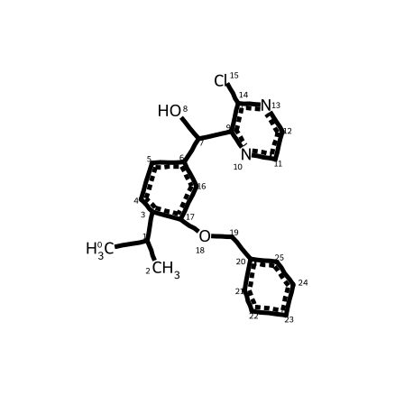 CC(C)c1ccc(C(O)c2nccnc2Cl)cc1OCc1ccccc1